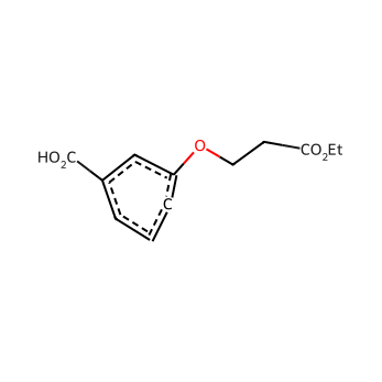 CCOC(=O)CCOc1cccc(C(=O)O)c1